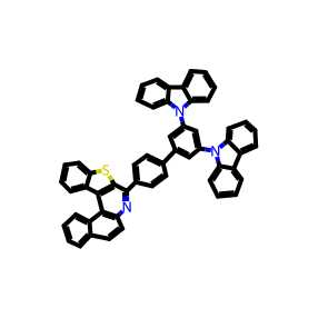 c1ccc2c(c1)ccc1nc(-c3ccc(-c4cc(-n5c6ccccc6c6ccccc65)cc(-n5c6ccccc6c6ccccc65)c4)cc3)c3sc4ccccc4c3c12